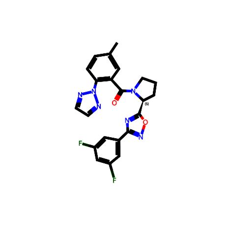 Cc1ccc(-n2nccn2)c(C(=O)N2CCC[C@H]2c2nc(-c3cc(F)cc(F)c3)no2)c1